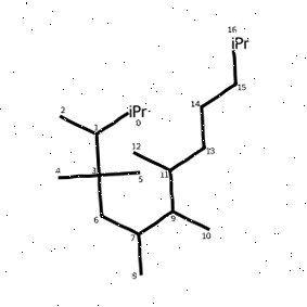 C[C](C)C(C)C(C)(C)CC(C)C(C)C(C)CCCC(C)C